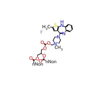 CCCCCCCCCC(=O)OCC(COC(=O)OC[N+]1(C)CCN(C2=Nc3ccccc3Nc3sc(C)cc32)CC1)OC(=O)CCCCCCCCC.[I-]